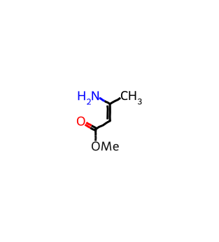 COC(=O)C=C(C)N